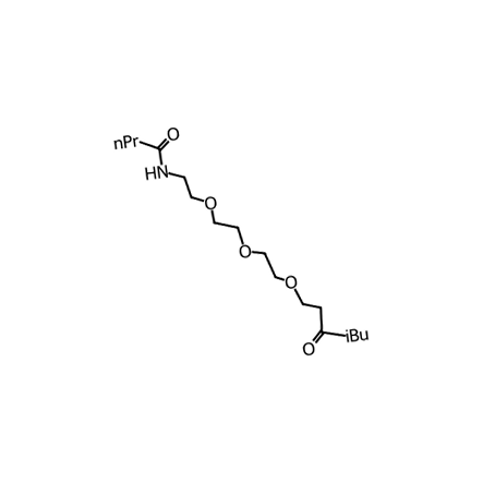 CCCC(=O)NCCOCCOCCOCCC(=O)C(C)CC